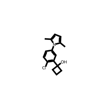 Cc1ccc(C)n1-c1ccc(Cl)c(C2(O)CCC2)c1